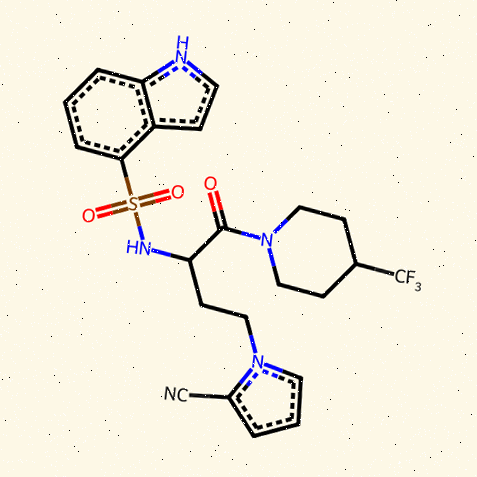 N#Cc1cccn1CCC(NS(=O)(=O)c1cccc2[nH]ccc12)C(=O)N1CCC(C(F)(F)F)CC1